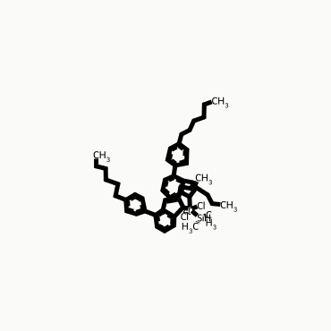 CCCCCCc1ccc(-c2cccc3c2C=C(CCC)[CH]3[Zr]([Cl])([Cl])([CH]2C(CCC)=Cc3c(-c4ccc(CCCCCC)cc4)cccc32)[SiH](C)C)cc1